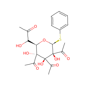 CC(=O)C(O)[C@H]1O[C@@H](Sc2ccccc2)[C@](O)(C(C)=O)[C@](O)(C(C)=O)[C@@]1(O)C(C)=O